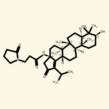 CC(C)C1=C2[C@H]3CC[C@@H]4[C@@]5(C)CC[C@H](O)C(C)(C)[C@@H]5CC[C@@]4(C)[C@]3(C)CC[C@@]2(NC(=O)CCN2CCCC2=O)CC1=O